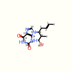 CC=CCC(C(C)CBr)n1cnc2c(=O)[nH]c(=O)[nH]c21